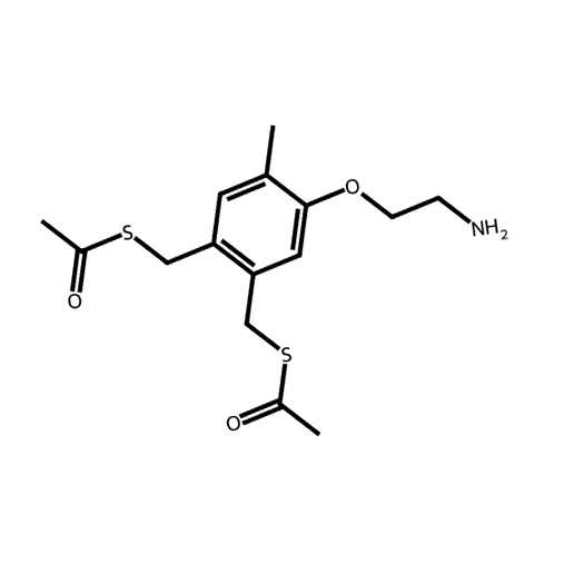 CC(=O)SCc1cc(C)c(OCCN)cc1CSC(C)=O